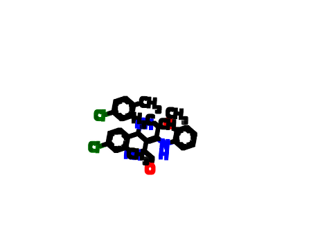 COc1ccccc1N/C(=C(\C(=N)C=O)C(Nc1cc(Cl)ccc1C)c1ccc(Cl)cc1C)C(C)C